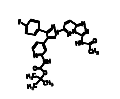 CC(=O)Nc1nnc2ccc(-n3cc(-c4ccnc(NC(=O)OC(C)(C)C)c4)c(-c4ccc(F)cc4)n3)nn12